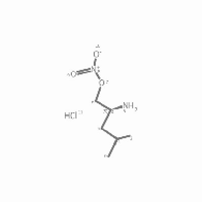 CC(C)C[C@H](N)CO[N+](=O)[O-].Cl